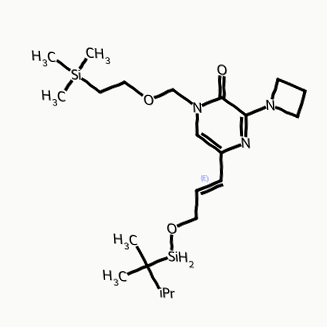 CC(C)C(C)(C)[SiH2]OC/C=C/c1cn(COCC[Si](C)(C)C)c(=O)c(N2CCC2)n1